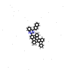 c1ccc2c(c1)-c1cccc3c4c(cc-2c13)C1(c2ccccc2-c2ccc(-c3nc(-c5ccc6ccccc6c5)c5ccccc5n3)cc21)c1ccccc1-4